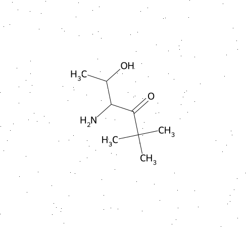 CC(O)C(N)C(=O)C(C)(C)C